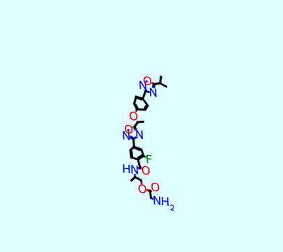 CC(COC(=O)CN)NC(=O)c1ccc(-c2noc(C(C)Oc3ccc(-c4noc(C(C)C)n4)cc3)n2)cc1F